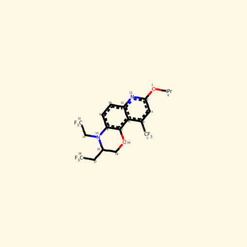 CC(C)Oc1cc(C(F)(F)F)c2c3c(ccc2n1)N(CC(F)(F)F)C(CC(F)(F)F)CO3